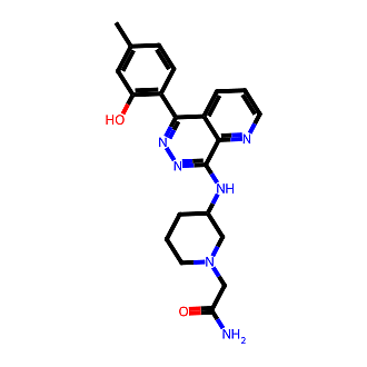 Cc1ccc(-c2nnc(NC3CCCN(CC(N)=O)C3)c3ncccc23)c(O)c1